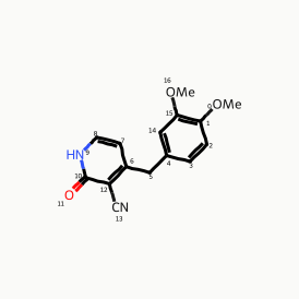 COc1ccc(Cc2cc[nH]c(=O)c2C#N)cc1OC